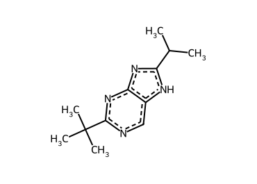 CC(C)c1nc2nc(C(C)(C)C)ncc2[nH]1